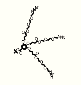 CC(C)(C)OC(=O)c1cc(OCCCC(=O)OCCOCCOCCN=[N+]=[N-])c(OCCCC(=O)OCCOCCOCCN=[N+]=[N-])c(OCCCC(=O)OCCOCCOCCN=[N+]=[N-])c1